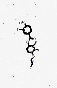 C/C=C/Oc1ccc(OC(=O)c2ccc(CCC)c(F)c2)c(F)c1F